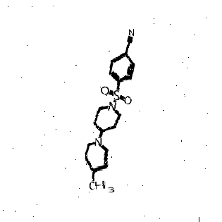 CC1CCN(C2CCN(S(=O)(=O)c3ccc(C#N)cc3)CC2)CC1